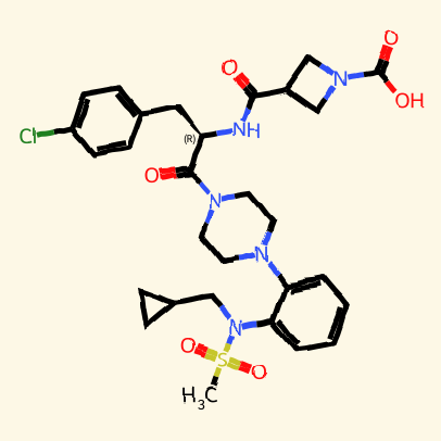 CS(=O)(=O)N(CC1CC1)c1ccccc1N1CCN(C(=O)[C@@H](Cc2ccc(Cl)cc2)NC(=O)C2CN(C(=O)O)C2)CC1